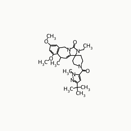 CCN1C(=O)N2Cc3cc(OC)cc(OC)c3C(C)C=C2C12CCN(C(=O)c1cc(C(C)(C)C)nn1C)CC2